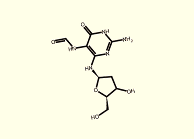 Nc1nc(N[C@H]2CC(O)[C@@H](CO)O2)c(NC=O)c(=O)[nH]1